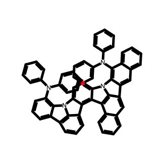 c1ccc(N(c2ccccc2)c2cccc3c4cccc5c6c7c8c9ccccc9cc9c%10cc%11ccccc%11c(N(c%11ccccc%11)c%11ccccc%11)c%10n(c7ccc6n(c23)c45)c98)cc1